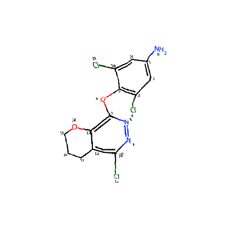 Nc1cc(Cl)c(Oc2nnc(Cl)c3c2OCCC3)c(Cl)c1